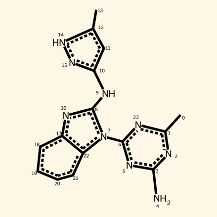 Cc1nc(N)nc(-n2c(Nc3cc(C)[nH]n3)nc3ccccc32)n1